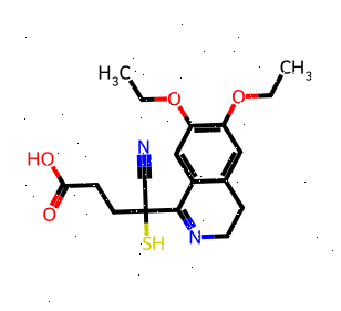 CCOc1cc2c(cc1OCC)C(C(S)(C#N)CCC(=O)O)=NCC2